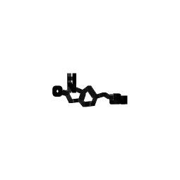 CC(C)(C)Cc1ccc2c(c1)NC(=O)C2